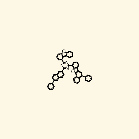 c1ccc(-c2ccc3cc(-c4nc(-c5cccc6c5oc5c7ccccc7c(-c7ccccc7)cc65)nc(-c5cccc6oc7ccccc7c56)n4)ccc3c2)cc1